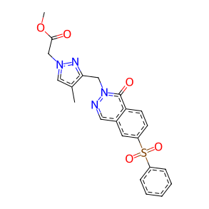 COC(=O)Cn1cc(C)c(Cn2ncc3cc(S(=O)(=O)c4ccccc4)ccc3c2=O)n1